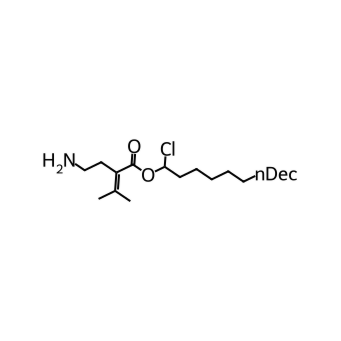 CCCCCCCCCCCCCCCC(Cl)OC(=O)C(CCN)=C(C)C